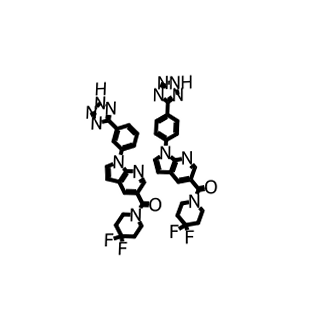 O=C(c1cnc2c(ccn2-c2ccc(-c3nn[nH]n3)cc2)c1)N1CCC(F)(F)CC1.O=C(c1cnc2c(ccn2-c2cccc(-c3nn[nH]n3)c2)c1)N1CCC(F)(F)CC1